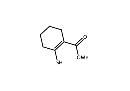 COC(=O)C1=C(S)CCCC1